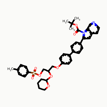 Cc1ccc(S(=O)(=O)OCC(COc2ccc(-c3ccc(-c4cc5ccncc5n4C(=O)OC(C)(C)C)cc3)cc2)OC2CCCCO2)cc1